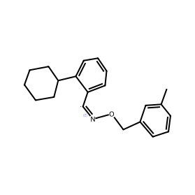 Cc1cccc(CO/N=[C]\c2ccccc2C2CCCCC2)c1